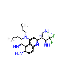 CCCN(CCC)c1cc(/C(=C/N)C(=N)C(F)(F)F)nc2ccc(N)c(C=N)c12